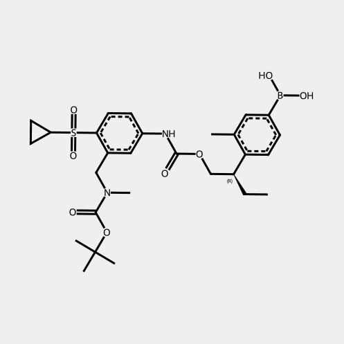 CC[C@@H](COC(=O)Nc1ccc(S(=O)(=O)C2CC2)c(CN(C)C(=O)OC(C)(C)C)c1)c1ccc(B(O)O)cc1C